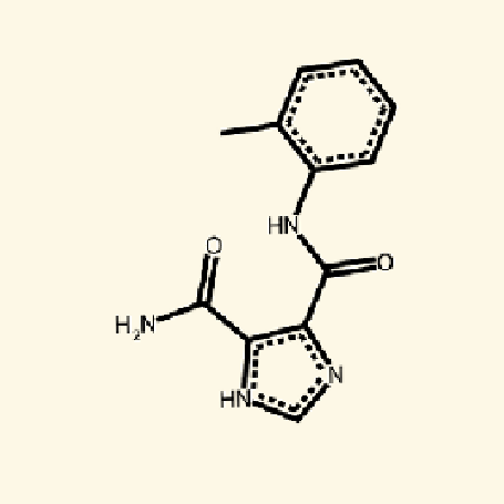 Cc1ccccc1NC(=O)c1nc[nH]c1C(N)=O